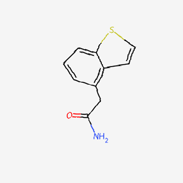 NC(=O)Cc1cccc2sccc12